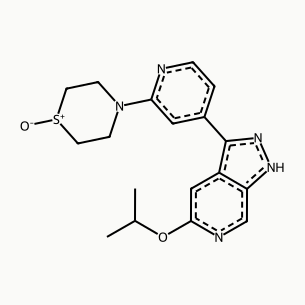 CC(C)Oc1cc2c(-c3ccnc(N4CC[S+]([O-])CC4)c3)n[nH]c2cn1